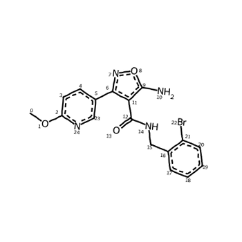 COc1ccc(-c2noc(N)c2C(=O)NCc2ccccc2Br)cn1